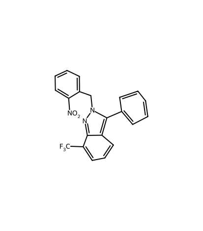 O=[N+]([O-])c1ccccc1Cn1nc2c(C(F)(F)F)cccc2c1-c1ccccc1